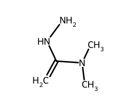 C=C(NN)N(C)C